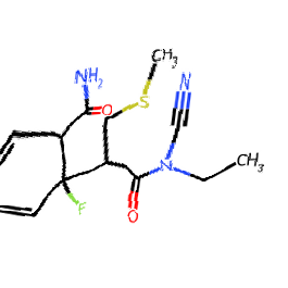 CCN(C#N)C(=O)C(CSC)C1(F)C=CC=CC1C(N)=O